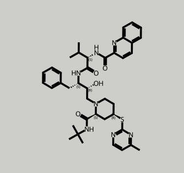 Cc1ccnc(S[C@@H]2CCN(C[C@@H](O)[C@H](Cc3ccccc3)NC(=O)[C@@H](NC(=O)c3ccc4ccccc4n3)C(C)C)[C@H](C(=O)NC(C)(C)C)C2)n1